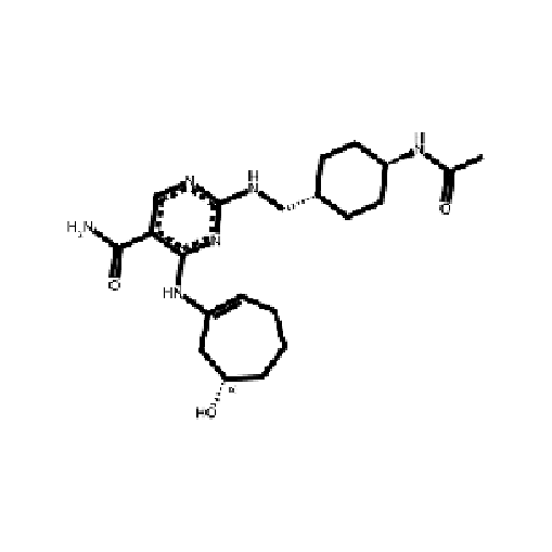 CC(=O)N[C@H]1CC[C@H](CNc2ncc(C(N)=O)c(NC3=CCCC[C@H](O)C3)n2)CC1